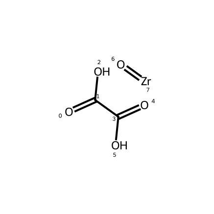 O=C(O)C(=O)O.[O]=[Zr]